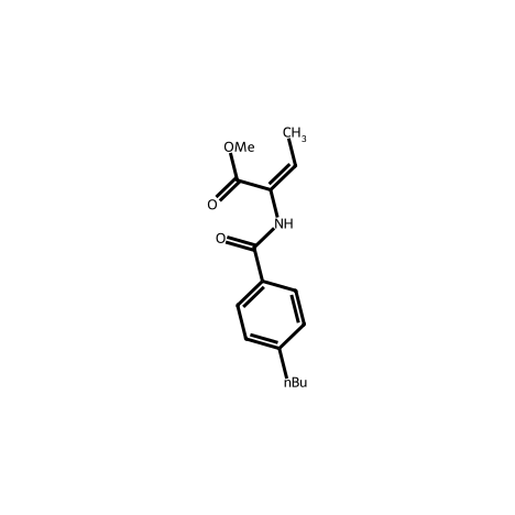 C/C=C(/NC(=O)c1ccc(CCCC)cc1)C(=O)OC